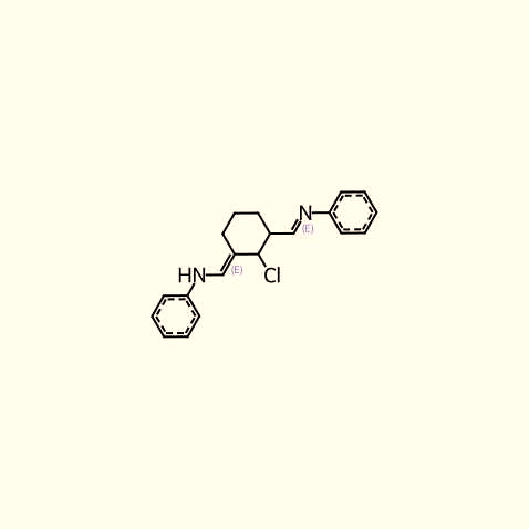 ClC1/C(=C/Nc2ccccc2)CCCC1/C=N/c1ccccc1